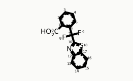 O=C(O)c1ccccc1C(F)(F)c1nc2ccccc2s1